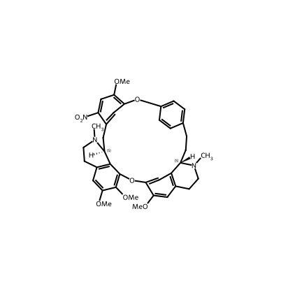 COc1cc([N+](=O)[O-])c2cc1Oc1ccc(cc1)CC[C@H]1c3cc(c(OC)cc3CCN1C)Oc1c(OC)c(OC)cc3c1[C@H](C2)N(C)CC3